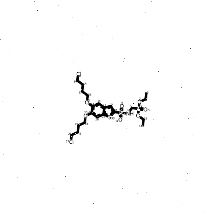 CCOP(=O)(CNS(=O)(=O)c1cc2cc(OCCCCCl)c(OCCCCCl)cc2s1)OCC